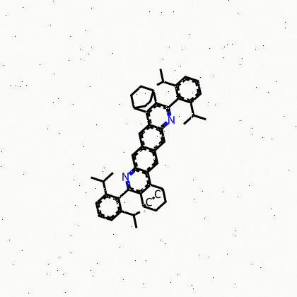 CC(C)c1cccc(C(C)C)c1-c1nc2cc3cc4c5c(c(-c6c(C(C)C)cccc6C(C)C)nc4cc3cc2c2c1C1CCC2CC1)C1CCC5CC1